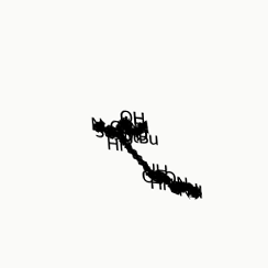 Cc1ncsc1-c1ccc([C@H](CC(=O)NCCCCCCCCNC(=O)c2ccc(C(=O)Nc3ccc4[nH]c(CN5CCC[C@@H]5C)nc4c3)cc2)NC(=O)[C@@H]2C[C@@H](O)CN2C(=O)[C@@H](NC(=O)C2(F)CC2)C(C)(C)C)cc1